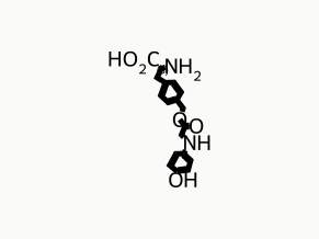 N[C@@H](Cc1ccc(COC(=O)CNc2ccc(O)cc2)cc1)C(=O)O